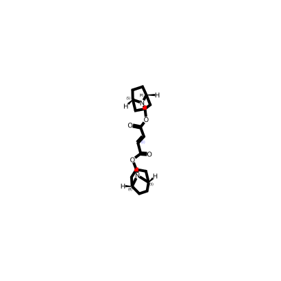 CN1[C@@H]2CC[C@H]1CC(OC(=O)/C=C/C(=O)OC1C[C@H]3CC[C@@H](C1)N3C)C2